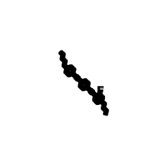 CCCCCc1ccc(C#Cc2ccc(C#Cc3ccc(CCCC)cc3F)cc2)cc1